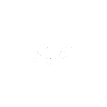 CCOc1ccc(Cc2cc([C@@H]3O[C@H](CO)C(O)[C@H](O)[C@@H]3O)c(C)c3c2OCC3)cc1